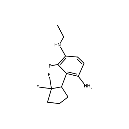 CCNc1ccc(N)c(C2CCCC2(F)F)c1F